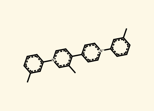 Cc1cccc(-[n+]2ccc(-c3cc[n+](-c4cccc(C)c4)cc3C)cc2)c1